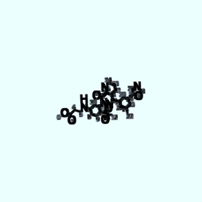 COC(=O)CCNc1ccc(S(C)(=O)=O)c(-n2nc(-c3cc(C)cc(-c4cnco4)c3)c3cccnc3c2=O)c1